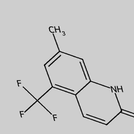 Cc1cc(C(F)(F)F)c2ccc(=O)[nH]c2c1